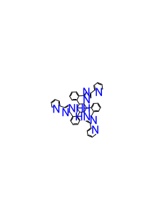 c1ccc(-c2c[nH]c(-c3ccccc3C3CC(c4ccccc4-c4nc(-c5ccccn5)c[nH]4)CC(c4ccccc4-c4nc(-c5ccccn5)c[nH]4)C3)n2)nc1